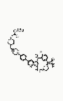 CC(C)(C)OC(=O)CN1CCC(CN2CCN(c3ccc(-c4cnc5[nH]cc(C(=O)c6cc(N(N7CC[C@@H](F)C7)[SH](=O)=O)ccc6F)c5c4)cc3)CC2)CC1